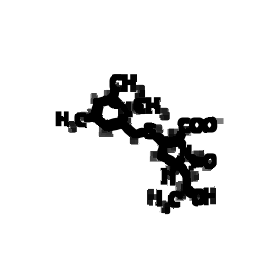 Cc1cc(C)[n+](C)c(CSC2=C(C(=O)[O-])N3C(=O)[C@H]([C@@H](C)O)[C@H]3C2)c1